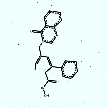 C/C=C(\C=C(/CC(=O)NO)c1ccccc1)Cn1cnc2ccccc2c1=O